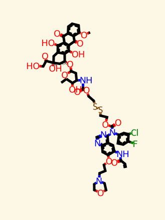 C=CC(=O)Nc1cc2c(N(C(=O)OCCSSCCOC(=O)NC3CC(O[C@H]4C[C@](O)(C(=O)CO)Cc5c(O)c6c(c(O)c54)C(=O)c4c(OC)cccc4C6=O)OC(C)C3O)c3ccc(F)c(Cl)c3)ncnc2cc1OCCCN1CCOCC1